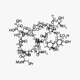 CN[C@H](CC(C)C)C(=O)N[C@H]1C(=O)C[C@@H](CC(N)=O)C(=O)N[C@H]2C(=O)C[C@H]3C(=O)N[C@H](C(=O)N[C@H](C(=O)O)c4cc(O)cc(O)c4-c4cc3ccc4O)[C@H](OC3CC(C)(N)C(O)C(C)O3)c3ccc(c(Cl)c3)Oc3cc2cc(c3OC2OC(CO)C(O)C(O)C2O)Oc2ccc(cc2Cl)[C@H]1O